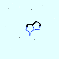 c1cc2cn[nH]n2n1